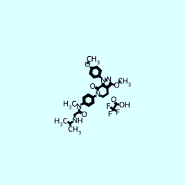 COc1ccc(-n2nc(OC)c3c2C(=O)N(c2ccc(N(C)C(=O)CNC(C)C)cc2)CC3)cc1.O=C(O)C(F)(F)F